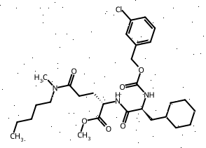 CCCCCN(C)C(=O)CC[C@H](NC(=O)[C@H](CC1CCCCC1)NC(=O)OCc1cccc(Cl)c1)C(=O)OC